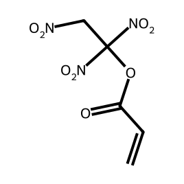 C=CC(=O)OC(C[N+](=O)[O-])([N+](=O)[O-])[N+](=O)[O-]